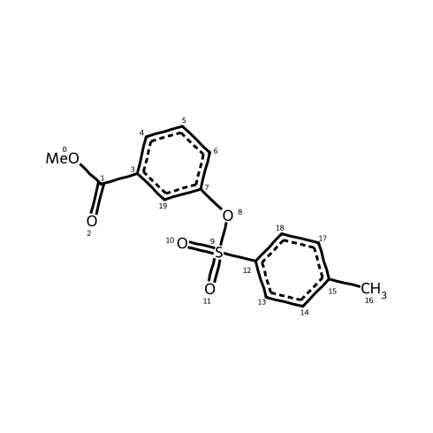 COC(=O)c1cccc(OS(=O)(=O)c2ccc(C)cc2)c1